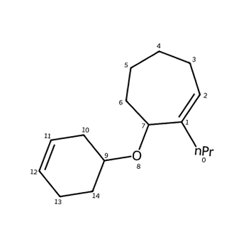 CCCC1=CCCCCC1OC1CC=CCC1